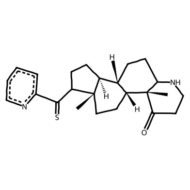 C[C@]12C(=O)CCNC1CC[C@@H]1[C@H]2CC[C@]2(C)C(C(=S)c3ccccn3)CC[C@@H]12